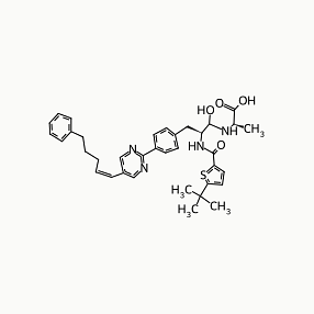 C[C@@H](NC(O)[C@H](Cc1ccc(-c2ncc(/C=C\CCCc3ccccc3)cn2)cc1)NC(=O)c1ccc(C(C)(C)C)s1)C(=O)O